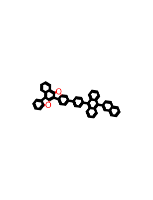 c1ccc2cc(-c3c4ccccc4c(-c4ccc(-c5ccc6c(c5)oc5c7ccccc7c7c8ccccc8oc7c65)cc4)c4ccccc34)ccc2c1